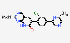 CNc1ncc2cc(-c3ccc(-c4cncc(C)n4)cc3Cl)c(=O)[nH]c2n1